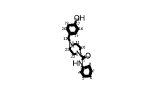 O=C(Nc1ccccc1)N1CCN(Cc2ccc(O)cc2)CC1